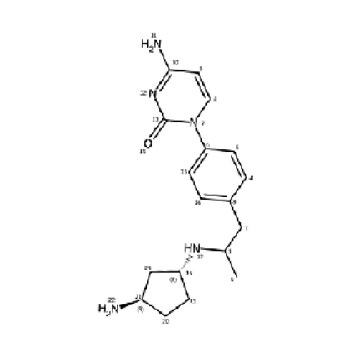 CC(Cc1ccc(-n2ccc(N)nc2=O)cc1)N[C@@H]1CC[C@@H](N)C1